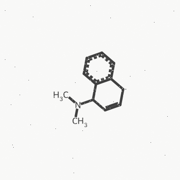 CN(C)C1C=C[CH]c2ccccc21